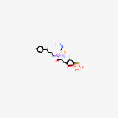 NCCS(=O)(=O)NC(Cc1ccc(C(F)(F)P(=O)(O)O)cc1)C(=O)NCCCCc1ccccc1